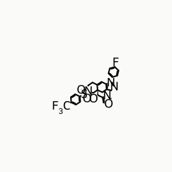 O=C(c1cocn1)[C@]12Cc3cnn(-c4ccc(F)cc4)c3C=C1CCN(S(=O)(=O)c1ccc(C(F)(F)F)cc1)C2